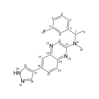 CC(c1cccc(F)c1)N(C)c1cnc2cc(-c3cn[nH]c3)ccc2n1